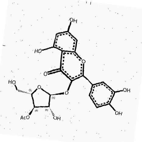 CC(=O)O[C@@H]1[C@@H](O)[C@H](Oc2c(-c3ccc(O)c(O)c3)oc3cc(O)cc(O)c3c2=O)O[C@H]1CO